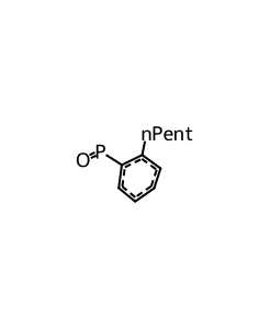 CCCCCc1ccccc1P=O